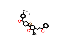 Cc1ccc(C(=O)C2CCc3c(sc4c3C(=O)C(C3CC3)C(CCC(=O)c3ccccc3)=C4)C2)cc1